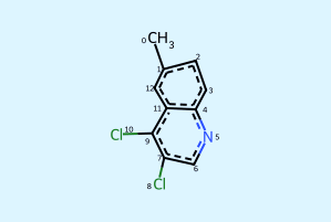 Cc1ccc2ncc(Cl)c(Cl)c2c1